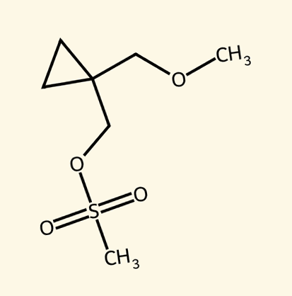 COCC1(COS(C)(=O)=O)CC1